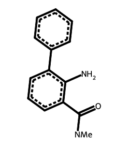 CNC(=O)c1cccc(-c2ccccc2)c1N